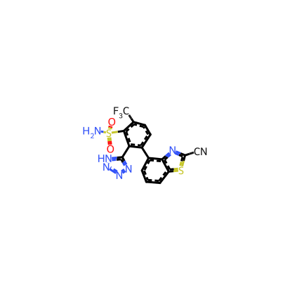 N#Cc1nc2c(-c3ccc(C(F)(F)F)c(S(N)(=O)=O)c3-c3nnn[nH]3)cccc2s1